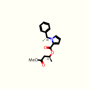 COC(=O)C[C@H](C)OC(=O)c1cccn1[C@H](C)c1ccccc1